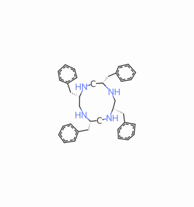 c1ccc(C[C@H]2CN[C@@H](Cc3ccccc3)CN[C@@H](Cc3ccccc3)CN[C@@H](Cc3ccccc3)CN2)cc1